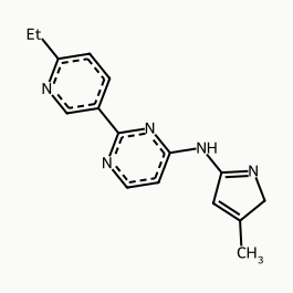 CCc1ccc(-c2nccc(NC3=NCC(C)=C3)n2)cn1